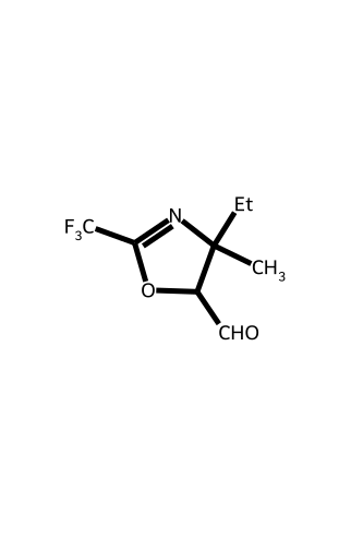 CCC1(C)N=C(C(F)(F)F)OC1C=O